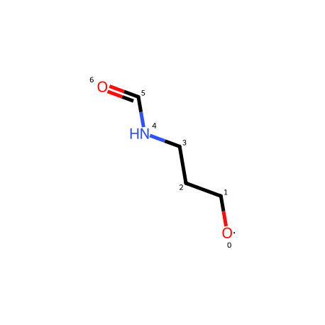 [O]CCCNC=O